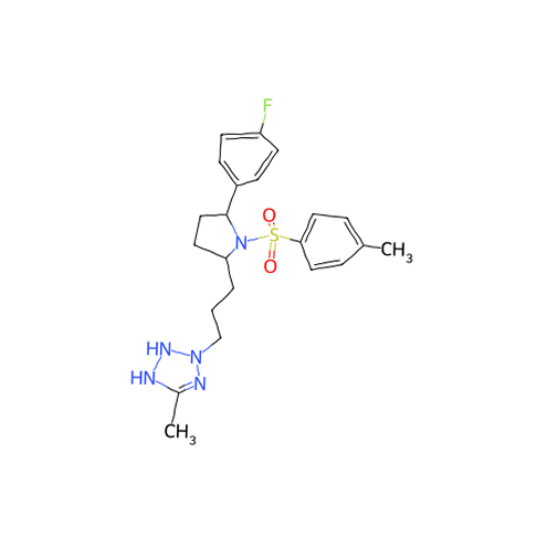 CC1=NN(CCCC2CCC(c3ccc(F)cc3)N2S(=O)(=O)c2ccc(C)cc2)NN1